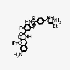 CC/C(N)=C/N(N)c1ccc(S(=O)(=O)Nc2cc(F)c(C(=O)N[C@@H](Cc3ccc(N)cc3)C(=O)OC(C)C)cc2F)cc1